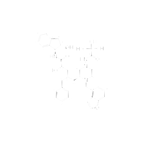 CC(C)(C)C(=O)NN1CCN(Cc2cccc3occc23)[C@@H](CC(Cc2ccccc2)CC(O)C(=O)N[C@H]2c3ccccc3C[C@@H]2O)C1